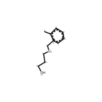 Cc1ccccc1COCCCO